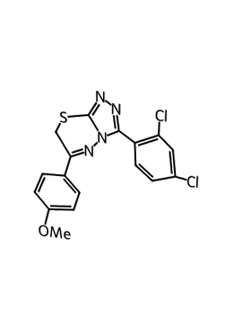 COc1ccc(C2=Nn3c(nnc3-c3ccc(Cl)cc3Cl)SC2)cc1